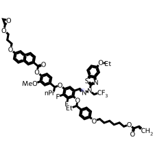 C=CC(=O)OCCCCCCOc1ccc(C(CC)Oc2c(/C=N/N(CC(F)(F)F)c3nc4cc(OCC)ccc4s3)cc(OC(CCC)c3ccc(OC(=O)c4ccc5cc(OCCCOC6CO6)ccc5c4)c(OC)c3)c(F)c2F)cc1